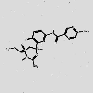 COc1cnc(C(=O)Nc2ccc(F)c([C@]3(C)CS(=O)(=NCC(F)(F)F)N(C)C(N)=N3)n2)cn1